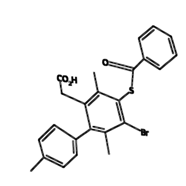 Cc1ccc(-c2c(C)c(Br)c(SC(=O)c3ccccc3)c(C)c2CC(=O)O)cc1